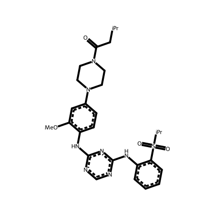 COc1cc(N2CCN(C(=O)CC(C)C)CC2)ccc1Nc1ncnc(Nc2ccccc2S(=O)(=O)C(C)C)n1